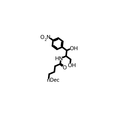 CCCCCCCCCCCCCC(=O)NC(CO)C(O)c1ccc([N+](=O)[O-])cc1